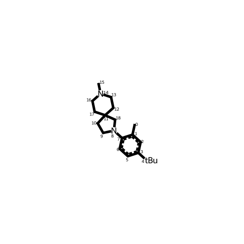 Cc1cc(C(C)(C)C)ccc1N1CCC2(CCN(C)CC2)C1